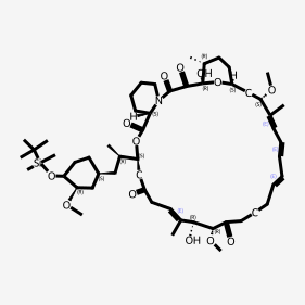 CO[C@H]1C[C@@H]2CC[C@@H](C)[C@@](O)(O2)C(=O)C(=O)N2CCCC[C@H]2C(=O)O[C@H]([C@H](C)C[C@@H]2CCC(O[Si](C)(C)C(C)(C)C)[C@H](OC)C2)CC(=O)C/C=C(\C)[C@@H](O)[C@@H](OC)C(=O)CCC/C=C/C=C/C=C/1C